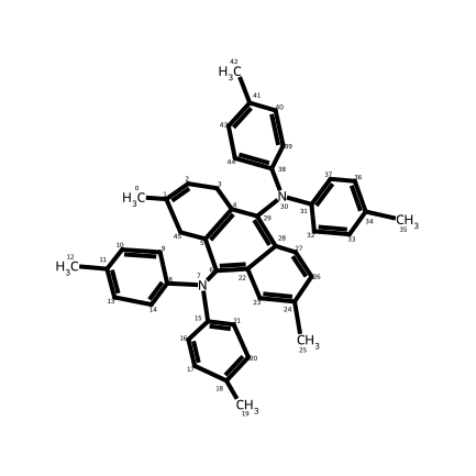 CC1=CCc2c(c(N(c3ccc(C)cc3)c3ccc(C)cc3)c3cc(C)ccc3c2N(c2ccc(C)cc2)c2ccc(C)cc2)C1